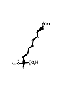 CCCCCCCCC=CCCCCCCC(C)(OC)C(=O)O